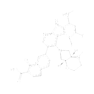 CNc1cc(F)c(F)c2c1[nH]c1ncc(-c3ccc4ccc(C(=O)O)c(=O)n4c3)c(N3C[C@H]4OCCN(C)[C@H]4C3)c12